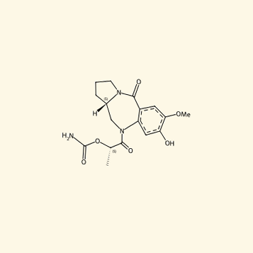 COc1cc2c(cc1O)N(C(=O)[C@H](C)OC(N)=O)C[C@@H]1CCCN1C2=O